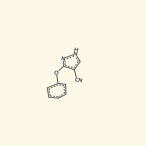 N#Cc1c[nH]nc1Oc1ccccc1